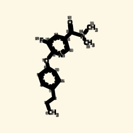 CCCc1ccc(Oc2ncc(C(=O)N(C)C)cc2F)cc1